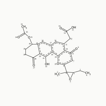 CCC1OC1(C)c1cc(=O)c2c(CC(=O)O)cc3cc4c(c(O)c3c2o1)C(=O)CCC4OC(C)=O